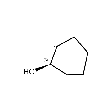 O[C@H]1[CH]CCCC1